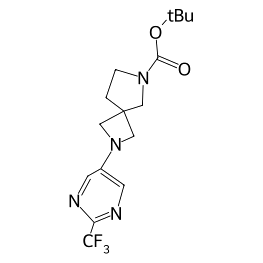 CC(C)(C)OC(=O)N1CCC2(C1)CN(c1cnc(C(F)(F)F)nc1)C2